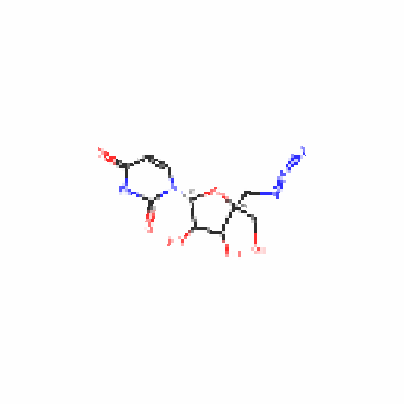 [N-]=[N+]=NC[C@]1(CO)O[C@@H](n2ccc(=O)[nH]c2=O)C(O)C1O